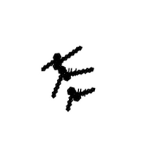 CCCCCCCCCCCCN(c1ccccc1)c1ccccc1CCCCCCCC.CCCCCCCCCCCCc1ccccc1Nc1ccccc1CCCCCCCCCCCC.CCCCCCCCc1ccccc1Nc1ccccc1CCCCCCCC